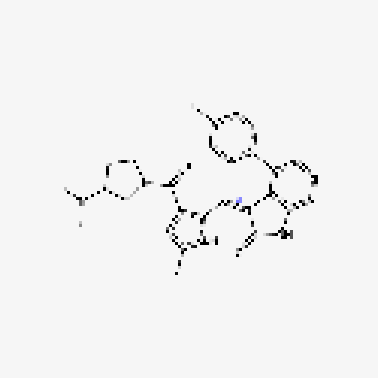 Cc1cc(C(=O)N2CCC(N(C)C)C2)c(/C=C2\C(=O)Nc3cccc(-c4ccc(F)cc4)c32)[nH]1